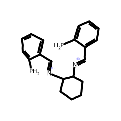 Pc1ccccc1/C=N/C1CCCCC1/N=C/c1ccccc1P